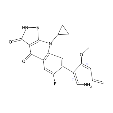 C=C/C=C(OC)\C(=C/N)c1cc2c(cc1F)c(=O)c1c(=O)[nH]sc1n2C1CC1